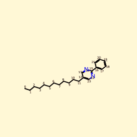 CCCCCCCCCCCCc1cnc(-c2cc[c]cc2)nc1